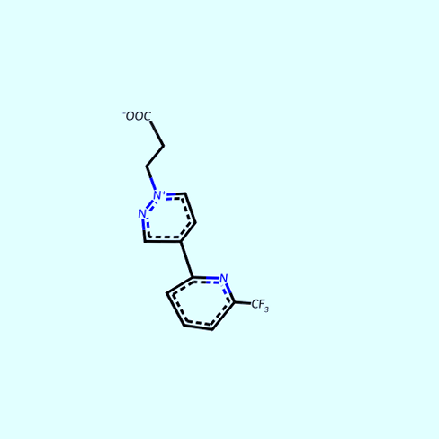 O=C([O-])CC[n+]1ccc(-c2cccc(C(F)(F)F)n2)cn1